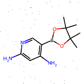 CC1(C)OB(c2cnc(N)cc2N)OC1(C)C